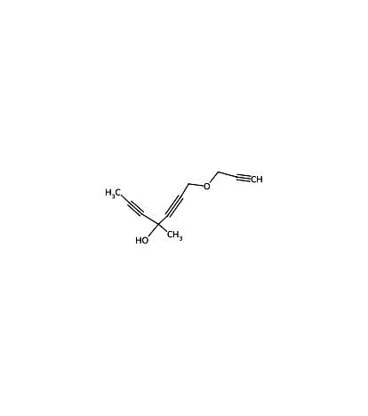 C#CCOCC#CC(C)(O)C#CC